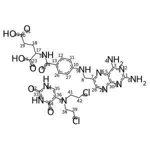 Nc1nc(N)c2nc(CNc3ccc(C(=O)NC(CCC(=O)O)C(=O)O)cc3)cnc2n1.O=c1[nH]cc(N(CCCl)CCCl)c(=O)[nH]1